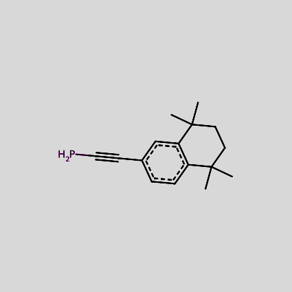 CC1(C)CCC(C)(C)c2cc(C#CP)ccc21